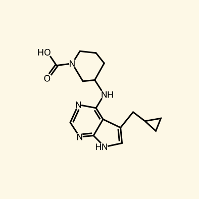 O=C(O)N1CCCC(Nc2ncnc3[nH]cc(CC4CC4)c23)C1